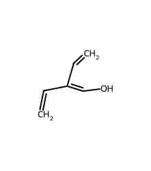 C=CC(C=C)=CO